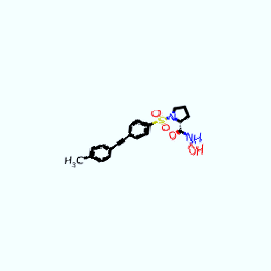 Cc1ccc(C#Cc2ccc(S(=O)(=O)N3CCC[C@@H]3C(=O)NO)cc2)cc1